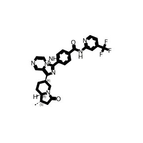 C[C@H]1CC(=O)N2C[C@H](C3=C4C=NC=C[N+]4(N)C(c4ccc(C(=O)Nc5cc(C(F)(F)F)ccn5)cc4)=N3)CC[C@H]12